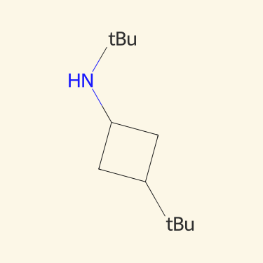 CC(C)(C)NC1CC(C(C)(C)C)C1